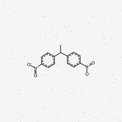 [CH2]C(c1ccc([N+](=O)[O-])cc1)c1ccc([N+](=O)[O-])cc1